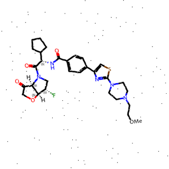 COCCN1CCN(c2nc(-c3ccc(C(=O)N[C@H](C(=O)N4C[C@H](F)[C@H]5OCC(=O)[C@H]54)C4CCCC4)cc3)cs2)CC1